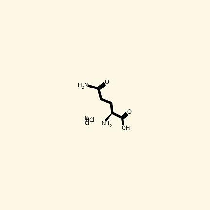 Cl.Cl.NC(=O)CC[C@H](N)C(=O)O